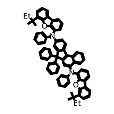 CCC(C)(C)c1cccc2c1oc1c(N(c3ccccc3)c3ccc4c(c3)C(c3ccccc3)(c3ccccc3)c3cc(N(c5ccccc5)c5cccc6c5oc5c(C(C)(C)CC)cccc56)c5ccccc5c3-4)cccc12